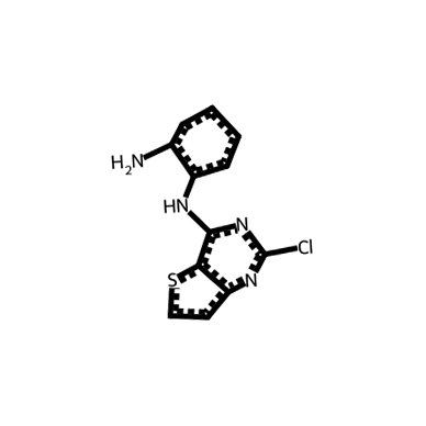 Nc1ccccc1Nc1nc(Cl)nc2ccsc12